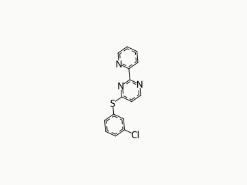 Clc1cccc(Sc2ccnc(-c3ccccn3)n2)c1